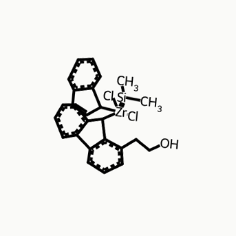 C[Si](C)=[Zr]([Cl])([Cl])([CH]1C=Cc2ccccc21)[CH]1c2ccccc2-c2cccc(CCO)c21